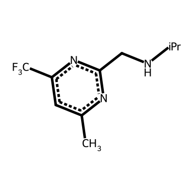 Cc1cc(C(F)(F)F)nc(CNC(C)C)n1